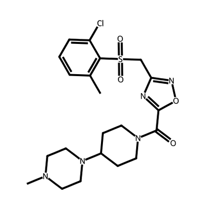 Cc1cccc(Cl)c1S(=O)(=O)Cc1noc(C(=O)N2CCC(N3CCN(C)CC3)CC2)n1